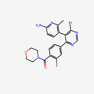 CCc1ncnc(-c2ccc(C(=O)N3CCOCC3)c(F)c2)c1-c1ccc(N)nc1C